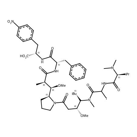 CC[C@H](C)C([C@@H](CC(=O)N1CCC[C@H]1[C@H](OC)[C@@H](C)C(=O)N[C@@H](Cc1ccccc1)C(=O)N[C@@H](Cc1ccc([N+](=O)[O-])cc1)C(=O)O)OC)N(C)C(=O)C(I)NC(=O)[C@H](C(C)C)N(C)C